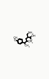 COc1ccc(C(C)C(C)CC(CN)C(=O)O)cc1